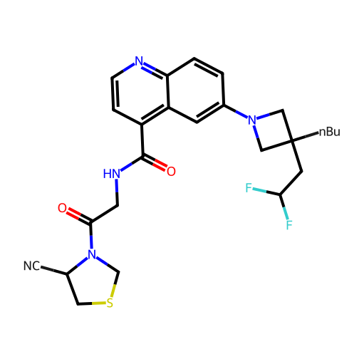 CCCCC1(CC(F)F)CN(c2ccc3nccc(C(=O)NCC(=O)N4CSCC4C#N)c3c2)C1